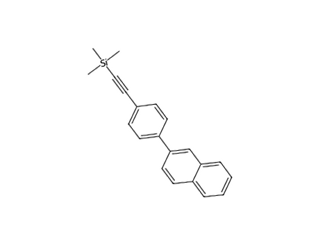 C[Si](C)(C)C#Cc1ccc(-c2ccc3ccccc3c2)cc1